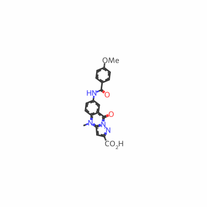 COc1ccc(C(=O)Nc2ccc3c(c2)c(=O)n2nc(C(=O)O)cc2n3C)cc1